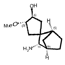 CO[C@H]1CC2(C[C@@H]1O)[C@H]1CC[C@H](C1)[C@@H]2N